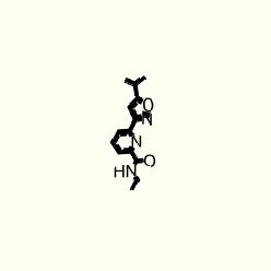 CCNC(=O)c1cccc(-c2cc(C(C)C)on2)n1